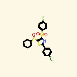 O=S(=O)(c1ccc(F)cc1)c1nc(-c2ccc(Cl)cc2)sc1[S+]([O-])C1CCCCC1